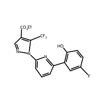 CCOC(=O)c1cnn(-c2cccc(-c3cc(F)ccc3O)n2)c1C(F)(F)F